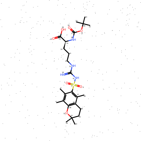 Cc1c(C)c(S(=O)(=O)NC(=N)NCCC[C@H](NC(=O)OC(C)(C)C)C(=O)O)c(C)c2c1OC(C)(C)CC2